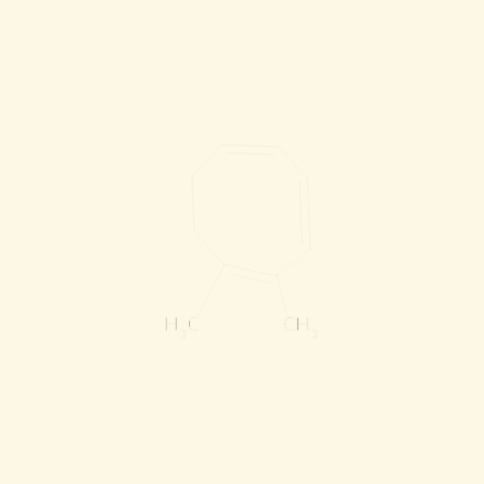 CC1=C(C)CCC=CC=C1